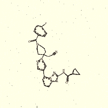 N#CCC1(n2cc(-c3cccc4nc(NC(=O)C5CC5)nn34)cn2)CCN(C(=O)c2ccc(F)cc2)CC1